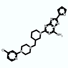 Nc1nc(N2CCCC(CN3CCN(c4cc(Cl)ccn4)CC3)C2)nc2nc(-c3ccco3)nn12